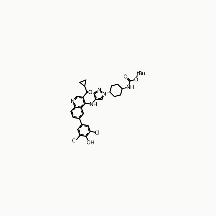 CC(C)(C)OC(=O)N[C@H]1CC[C@H](n2cc(Nc3c(C(=O)C4CC4)cnc4ccc(-c5cc(Cl)c(O)c(Cl)c5)cc34)cn2)CC1